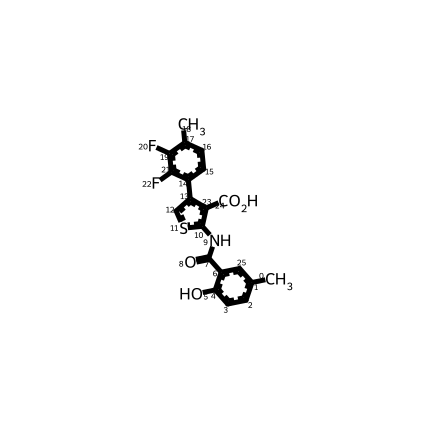 Cc1ccc(O)c(C(=O)Nc2scc(-c3ccc(C)c(F)c3F)c2C(=O)O)c1